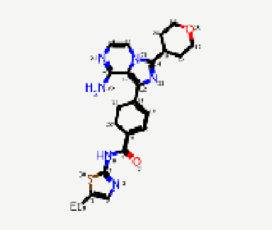 CCc1cnc(NC(=O)C2=CC=C(c3nc(C4CCOCC4)n4ccnc(N)c34)CC2)s1